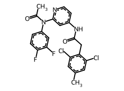 CC(=O)N(c1ccc(F)c(F)c1)c1cc(NC(=O)Cc2c(Cl)cc(C)cc2Cl)ccn1